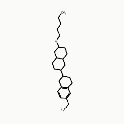 CCCCCOC1CCC2CC(C3CCc4cc(CC)ccc4C3)CCC2C1